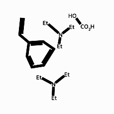 C=Cc1ccccc1.CCN(CC)CC.CCN(CC)CC.O=C(O)O